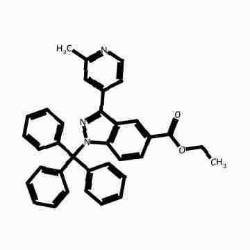 CCOC(=O)c1ccc2c(c1)c(-c1ccnc(C)c1)nn2C(c1ccccc1)(c1ccccc1)c1ccccc1